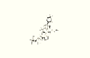 CCCCCn1c(N2CCC[C@H]2C(=O)NCC(O)C(F)(F)F)cc(=O)n2cc(-c3ccc(Cl)cc3)nc12